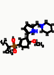 COc1ccc(S(=O)(=O)C(C)C)cc1-c1ccc(CN2CCCCC2)[nH]1